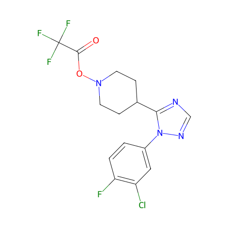 O=C(ON1CCC(c2ncnn2-c2ccc(F)c(Cl)c2)CC1)C(F)(F)F